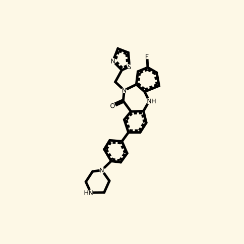 O=C1c2cc(-c3ccc(N4CCNCC4)cc3)ccc2Nc2ccc(F)cc2N1Cc1nccs1